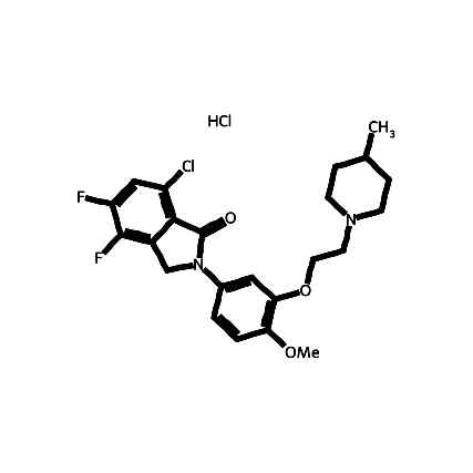 COc1ccc(N2Cc3c(F)c(F)cc(Cl)c3C2=O)cc1OCCN1CCC(C)CC1.Cl